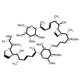 CC[C@H](OC)[C@@H](C)[C@H]1CC#C[C@@H]1[C@H](O)[C@@H](C)/C=C/C=C(\C)[C@H]1O[C@H](OC)[C@H](OC)[C@@H](OCCC[C@H](OC)[C@@H](C)[C@H]2C=C[C@@H]2[C@H](O)[C@@H](C)/C=C/C=C(\C)[C@H]2O[C@@H](OC)[C@H](OC)[C@@H](OC)[C@@H]2OC)[C@@H]1OC